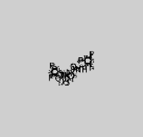 CC1Sc2ccc(C(=O)NCCc3c(F)cc(F)cc3F)nc2N(Cc2cc(F)cc(F)c2)C1=O